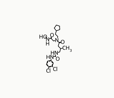 CC(CNC(=O)Nc1ccc(Cl)c(Cl)c1)CC(=O)N(CCC1CCCC1)CC(=O)NO